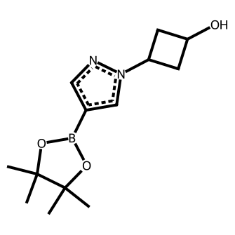 CC1(C)OB(c2cnn(C3CC(O)C3)c2)OC1(C)C